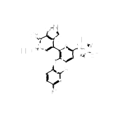 CCS(=O)(=O)Nc1ccc(Oc2ccc(F)cc2F)c(-c2cn(C)c(=O)c3oncc23)c1